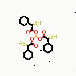 O=C(OP(OC(=O)C(S)C1CCCCC1)OC(=O)C(S)C1CCCCC1)C(S)C1CCCCC1